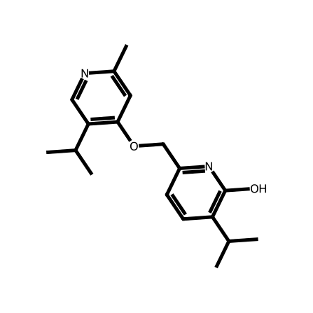 Cc1cc(OCc2ccc(C(C)C)c(O)n2)c(C(C)C)cn1